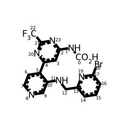 O=C(O)Nc1cc(-c2ccncc2NCc2cccc(Br)n2)nc(C(F)(F)F)n1